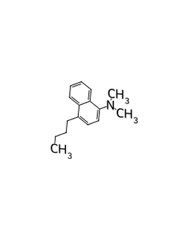 CCCCc1ccc(N(C)C)c2ccccc12